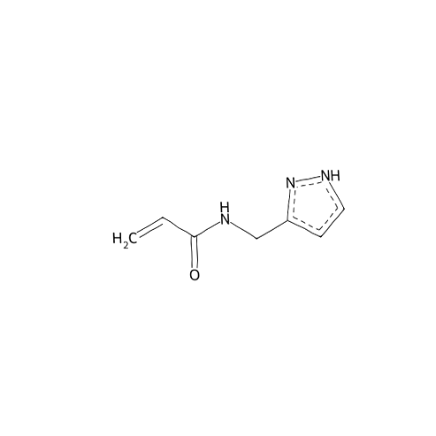 C=CC(=O)NCc1cc[nH]n1